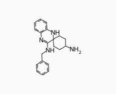 NC1CCC2(CC1)Nc1ccccc1N=C2NCc1ccccc1